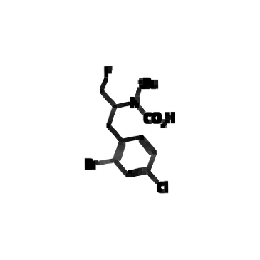 CC(C)(C)N(C(=O)O)C(CF)Cc1ccc(Cl)cc1Br